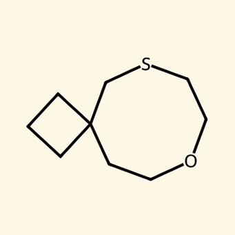 C1CC2(C1)CCOCCSC2